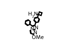 COc1ccn2c(-c3ccccc3)c(-c3ccc(C4(N)CCC4)cc3)nc2n1